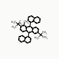 Cc1c(C(C)(C)C)ccc2c(-c3cccc4ccccc34)c3cc(C(C)(C)C)ccc3c(-c3cccc4ccccc34)c12